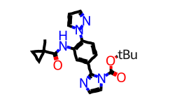 CC(C)(C)OC(=O)n1ccnc1-c1ccc(-n2cccn2)c(NC(=O)C2(C)CC2)c1